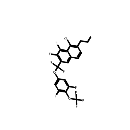 CCCc1ccc2cc(C(F)(F)Oc3cc(F)c(OC(F)(F)F)c(F)c3)c(F)c(F)c2c1Cl